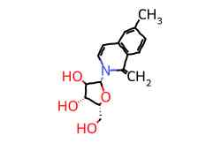 C=C1c2ccc(C)cc2C=CN1[C@@H]1O[C@H](CO)[C@H](O)C1O